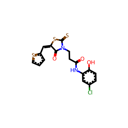 O=C(CCN1C(=O)/C(=C\c2cccs2)SC1=S)Nc1cc(Cl)ccc1O